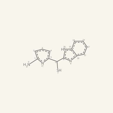 Nc1cccc(C(S)c2nc3ccccc3[nH]2)n1